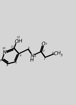 CCC(=O)NCc1cccnc1O